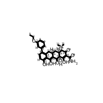 CCOc1cccc(-c2ccc(O)c3c2C[C@H]2C[C@H]4[C@H](N(C)C)C(=O)C(C(N)=O)=C(O)[C@@]4(O)C(=O)C2=C3O)c1